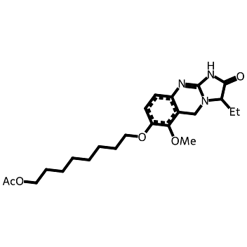 CCC1C(=O)NC2=Nc3ccc(OCCCCCCCCOC(C)=O)c(OC)c3CN21